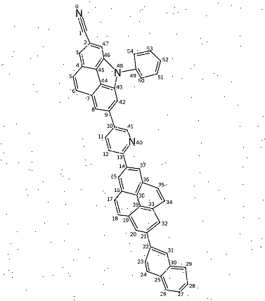 N#Cc1cc2ccc3cc(-c4ccc(-c5cc6ccc7cc(-c8ccc9ccccc9c8)cc8ccc(c5)c6c78)nc4)cc4c3c2c(c1)n4-c1ccccc1